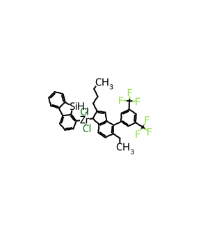 CCCCC1=Cc2c(ccc(CC)c2-c2cc(C(F)(F)F)cc(C(F)(F)F)c2)[CH]1[Zr]([Cl])([Cl])[c]1cccc2c1[SiH2]c1ccccc1-2